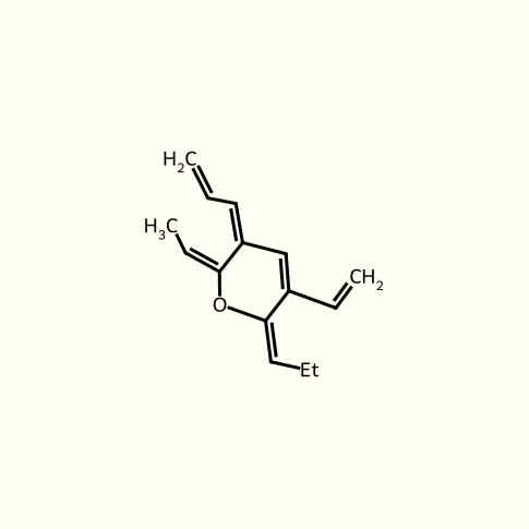 C=C/C=C1C=C(C=C)/C(=C\CC)OC/1=C/C